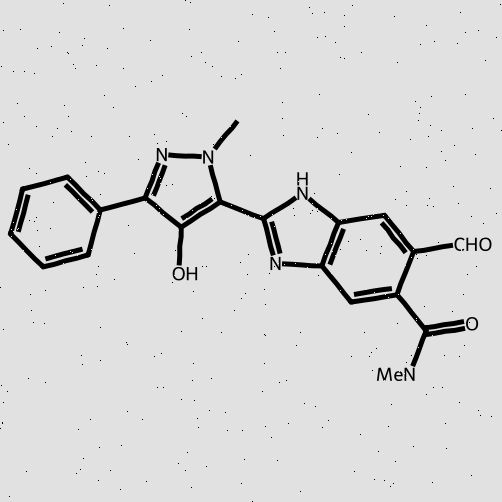 CNC(=O)c1cc2nc(-c3c(O)c(-c4ccccc4)nn3C)[nH]c2cc1C=O